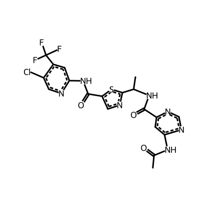 CC(=O)Nc1cc(C(=O)NC(C)c2ncc(C(=O)Nc3cc(C(F)(F)F)c(Cl)cn3)s2)ncn1